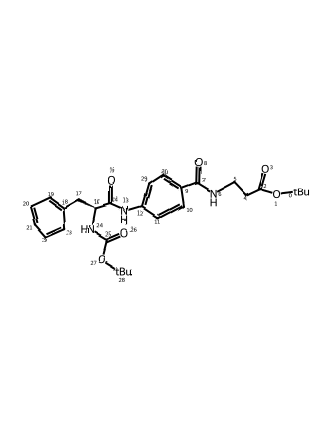 CC(C)(C)OC(=O)CCNC(=O)c1ccc(NC(=O)[C@H](Cc2ccccc2)NC(=O)OC(C)(C)C)cc1